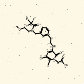 COCCN(Cc1cccc(CCNc2nc(Cl)c(C)n(CC(=O)O)c2=O)c1)C(=O)C(F)(F)F